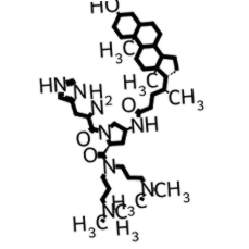 C[C@H](CCC(=O)N[C@H]1C[C@@H](C(=O)N(CCCN(C)C)CCCN(C)C)N(C(=O)C(N)Cc2c[nH]cn2)C1)[C@H]1CCC2C3CCC4C[C@H](O)CC[C@]4(C)C3CC[C@@]21C